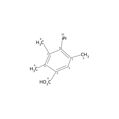 Cc1cc(C(=O)O)c(C)c(C)c1C(C)C